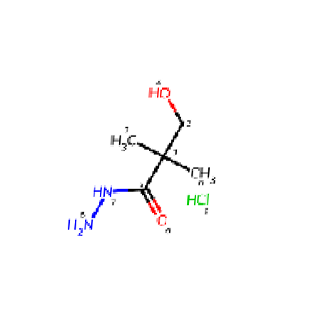 CC(C)(CO)C(=O)NN.Cl